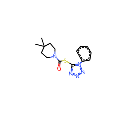 CC1(C)CCN(C(=O)Sc2nnnn2-c2ccccc2)CC1